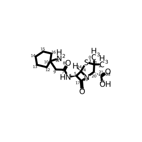 CC1(C)S[C@@H]2[C@H](NC(=O)CC3(N)CCCCC3)C(=O)N2[C@H]1C(=O)O